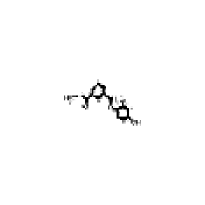 COC(=O)c1cccc(COc2ccc(O)cc2C)c1